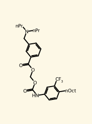 CCCCCCCCc1ccc(NC(=O)OCOC(=O)c2cccc(CN(CCC)CCC)c2)cc1C(F)(F)F